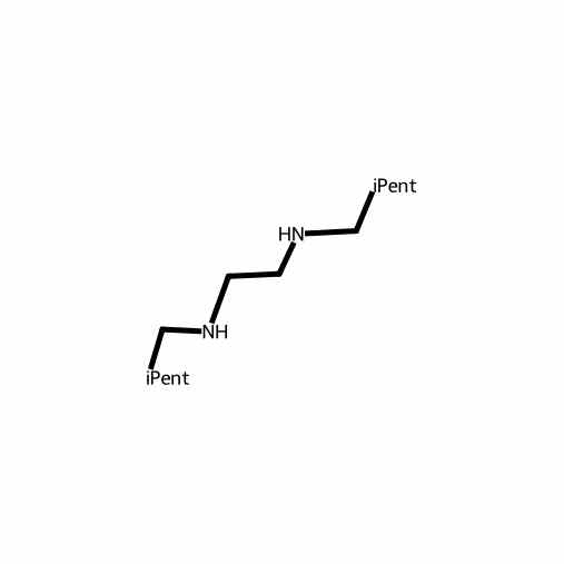 CCCC(C)CNCCNCC(C)CCC